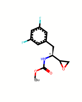 CC(C)(C)OC(=O)N[C@@H](Cc1cc(F)cc(F)c1)C1CO1